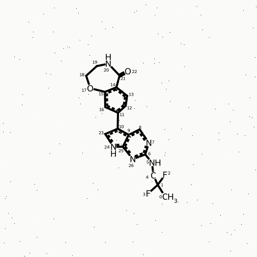 CC(F)(F)CNc1ncc2c(-c3ccc4c(c3)OCCNC4=O)c[nH]c2n1